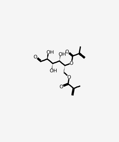 C=C(C)C(=O)OC[C@@H](OC(=O)C(=C)C)[C@@H](O)[C@H](O)[C@H](O)C=O